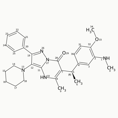 CNc1cc([C@@H](C)c2c(C)[nH]c3c(N4CCCCC4)c(-c4ccccc4)nn3c2=O)ccc1OC